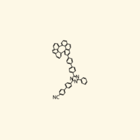 N#Cc1ccc(-c2ccc(-c3nc(-c4ccccc4)nc(-c4ccc(-c5ccc(-c6cc7ccc8cccc9c%10cccc%11ccc%12cccc(c(c6)c7c89)c%12c%11%10)cc5)cc4)n3)cc2)cc1